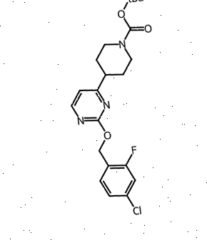 CC(C)(C)OC(=O)N1CCC(c2ccnc(OCc3ccc(Cl)cc3F)n2)CC1